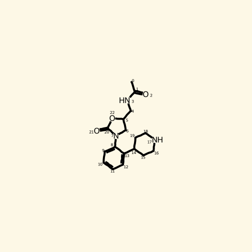 CC(=O)NCC1CN(c2ccccc2C2CCNCC2)C(=O)O1